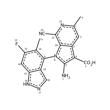 Cc1cc2c(C(=O)O)c(N)n(-c3c(C)c(F)cc4[nH]ncc34)c2c(C#N)n1